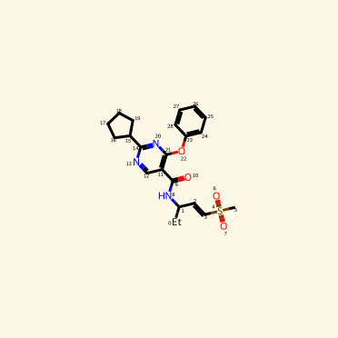 CCC(C=CS(C)(=O)=O)NC(=O)c1cnc(C2CCCC2)nc1Oc1ccccc1